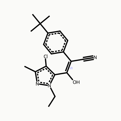 CCn1nc(C)c(Cl)c1/C(O)=C(/C#N)c1ccc(C(C)(C)C)cc1